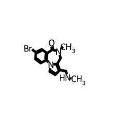 CNCc1ccn2c1CN(C)C(=O)c1cc(Br)ccc1-2